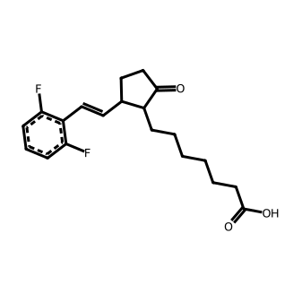 O=C(O)CCCCCCC1C(=O)CCC1C=Cc1c(F)cccc1F